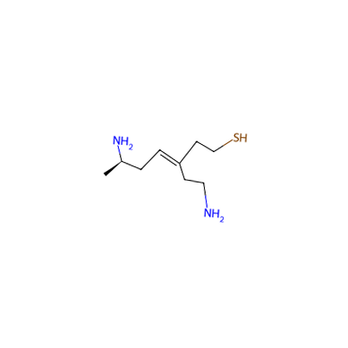 C[C@@H](N)C/C=C(\CCN)CCS